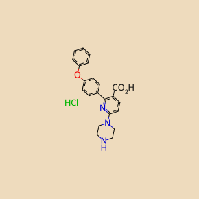 Cl.O=C(O)c1ccc(N2CCNCC2)nc1-c1ccc(Oc2ccccc2)cc1